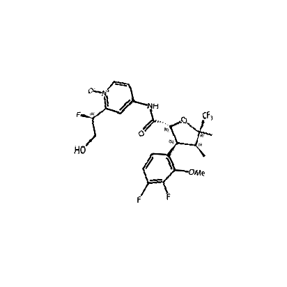 COc1c([C@H]2[C@H](C(=O)Nc3cc[n+]([O-])c([C@H](F)CO)c3)O[C@@](C)(C(F)(F)F)[C@H]2C)ccc(F)c1F